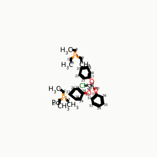 CCP(CC)CC.CCP(CC)CC.[Cl][Sn]([O]c1ccccc1)([O]c1ccccc1)[O]c1ccccc1.[Pd]